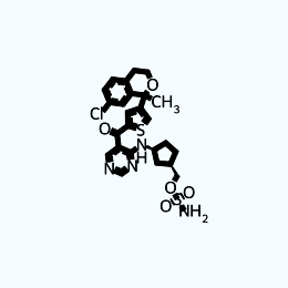 CC1(c2csc(C(=O)c3cncnc3N[C@H]3CC[C@@H](COS(N)(=O)=O)C3)c2)OCCc2ccc(Cl)cc21